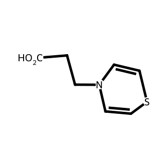 O=C(O)CCN1C=CSC=C1